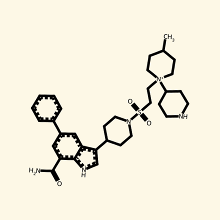 CC1CC[N+](CCS(=O)(=O)N2CCC(c3c[nH]c4c(C(N)=O)cc(-c5ccccc5)cc34)CC2)(C2CCNCC2)CC1